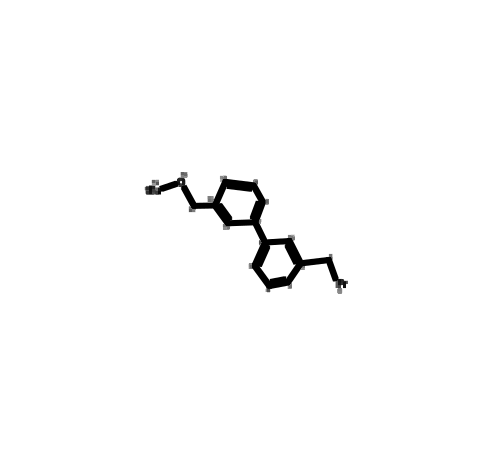 CC(C)Cc1cccc(-c2cccc(COC(C)(C)C)c2)c1